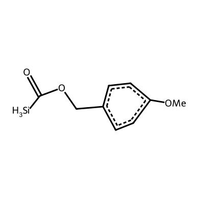 COc1ccc(COC(=O)[SiH3])cc1